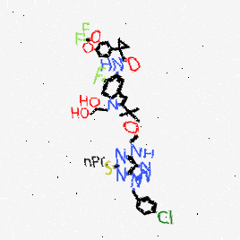 CCCSc1nc(NCCOCC(C)(C)c2cc3cc(NC(=O)C4(c5ccc6c(c5)OC(F)(F)O6)CC4)c(F)cc3n2CC(O)CO)c2nnn(Cc3ccc(Cl)cc3)c2n1